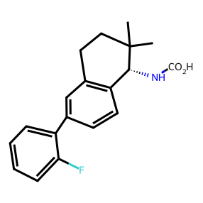 CC1(C)CCc2cc(-c3ccccc3F)ccc2[C@H]1NC(=O)O